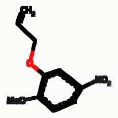 C=CCOc1cc([N+](=O)[O-])[c]cc1OC